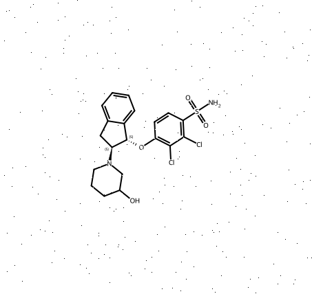 NS(=O)(=O)c1ccc(O[C@H]2c3ccccc3C[C@@H]2N2CCCC(O)C2)c(Cl)c1Cl